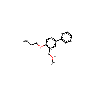 CNCCOc1ccc(-c2ccccc2)cc1COC(C)C